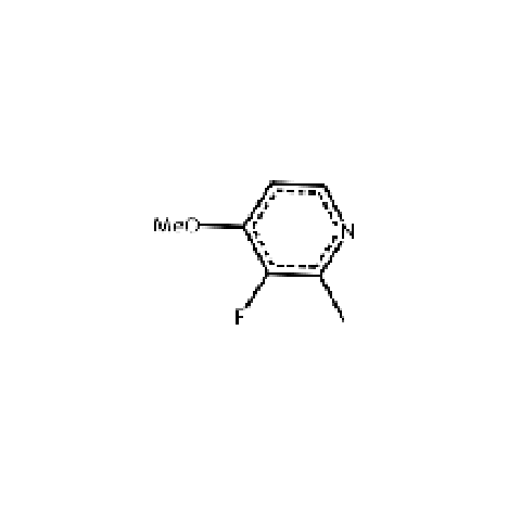 COc1ccnc(C)c1F